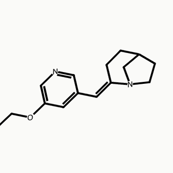 CCOc1cncc(C=C2CCC3CCN2C3)c1